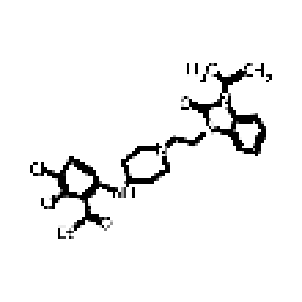 C=C(C)n1c(=O)n(CCN2CCC(Nc3ccc(Cl)c(Cl)c3C(=O)CC)CC2)c2ccccc21